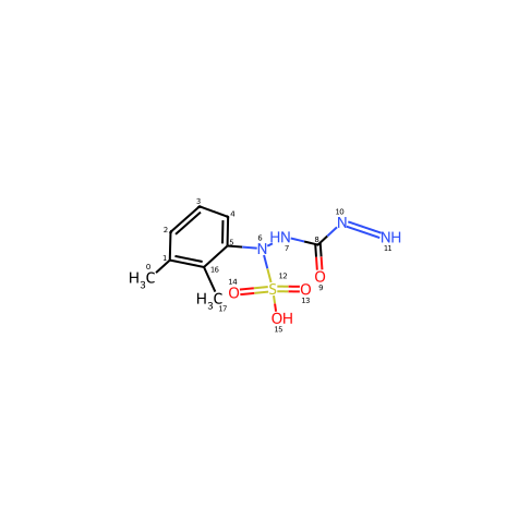 Cc1cccc(N(NC(=O)N=N)S(=O)(=O)O)c1C